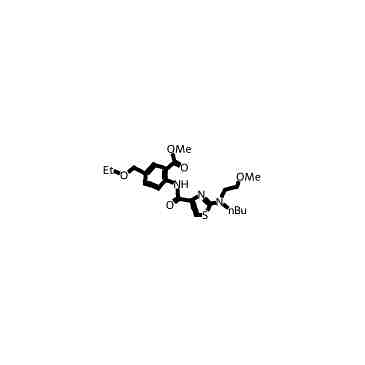 CCCCN(CCOC)c1nc(C(=O)Nc2ccc(COCC)cc2C(=O)OC)cs1